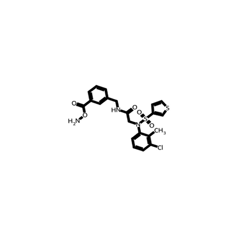 Cc1c(Cl)cccc1N(CC(=O)NCc1cccc(C(=O)ON)c1)S(=O)(=O)c1ccsc1